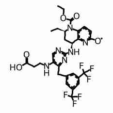 CCOC(=O)N1c2ccc(OC)nc2[C@@H](Nc2ncc(NCCC(=O)O)c(Cc3cc(C(F)(F)F)cc(C(F)(F)F)c3)n2)C[C@H]1CC